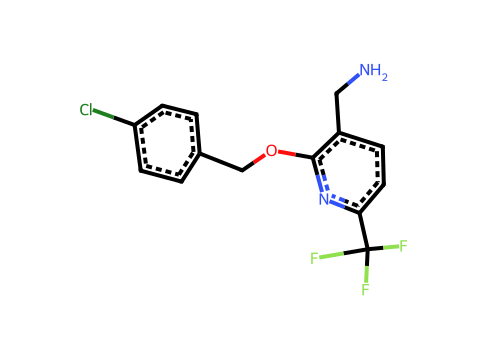 NCc1ccc(C(F)(F)F)nc1OCc1ccc(Cl)cc1